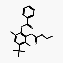 CCOC(=O)Sc1c(C)c(C(C)(C)C)cc(C)c1SC(=O)c1ccccc1